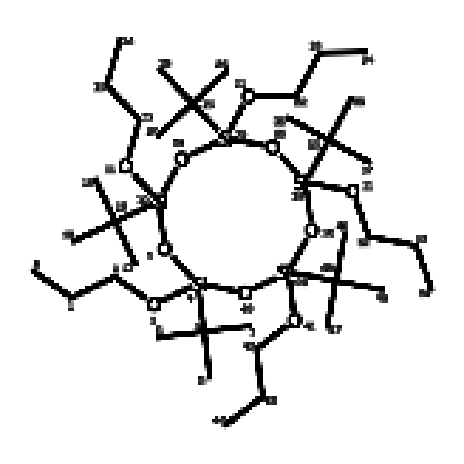 CCCO[Si]1(C(C)(C)C)O[Si](OCCC)(C(C)(C)C)O[Si](OCCC)(C(C)(C)C)O[Si](OCCC)(C(C)(C)C)O[Si](OCCC)(C(C)(C)C)O1